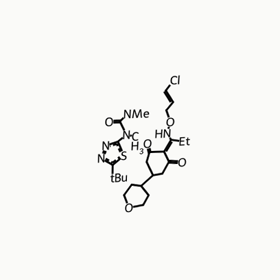 CCC(NOCC=CCl)=C1C(=O)CC(C2CCOCC2)CC1=O.CNC(=O)N(C)c1nnc(C(C)(C)C)s1